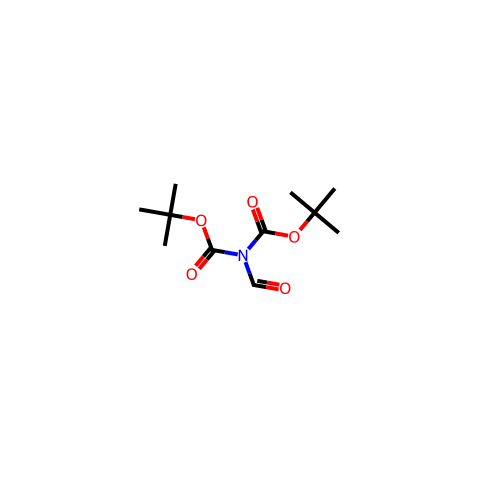 CC(C)(C)OC(=O)N(C=O)C(=O)OC(C)(C)C